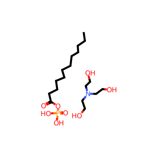 CCCCCCCCCCCC(=O)OP(=O)(O)O.OCCN(CCO)CCO